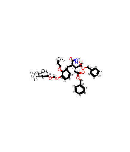 C=CCOc1c(/C=C(/C(N)=O)[C@H](CC(=O)OCc2ccccc2)C(=O)OCc2ccccc2)cccc1OCOCC[Si](C)(C)C